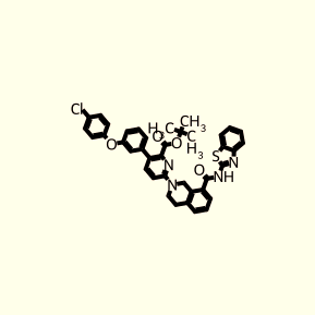 CC(C)(C)OC(=O)c1nc(N2CCc3cccc(C(=O)Nc4nc5ccccc5s4)c3C2)ccc1-c1cccc(Oc2ccc(Cl)cc2)c1